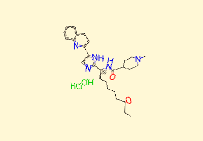 CCC(=O)CCCCC[C@H](NC(=O)C1CCN(C)CC1)c1ncc(-c2ccc3ccccc3n2)[nH]1.Cl.Cl